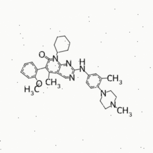 COc1ccccc1-c1c(C)c2cnc(Nc3ccc(N4CCN(C)CC4)c(C)c3)nc2n(C2CCCCC2)c1=O